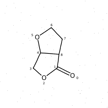 O=C1OCC2OCCC12